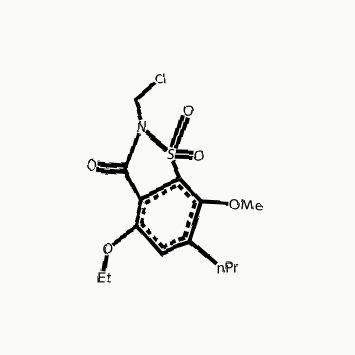 CCCc1cc(OCC)c2c(c1OC)S(=O)(=O)N(CCl)C2=O